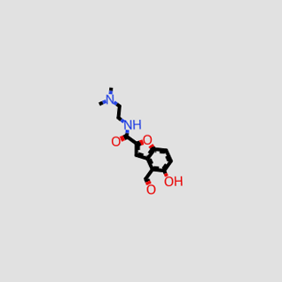 CN(C)CCNC(=O)c1cc2c(C=O)c(O)ccc2o1